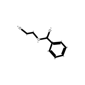 [O]CCOC([O])c1ccccc1